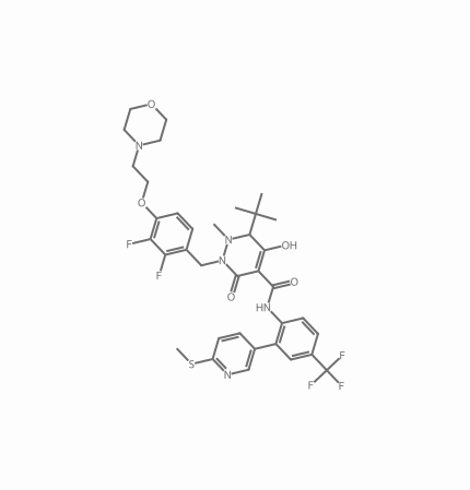 CSc1ccc(-c2cc(C(F)(F)F)ccc2NC(=O)C2=C(O)C(C(C)(C)C)N(C)N(Cc3ccc(OCCN4CCOCC4)c(F)c3F)C2=O)cn1